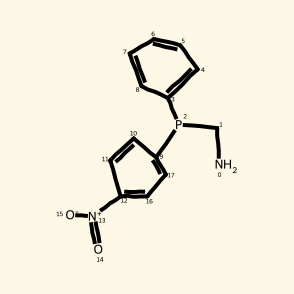 NCP(c1ccccc1)c1ccc([N+](=O)[O-])cc1